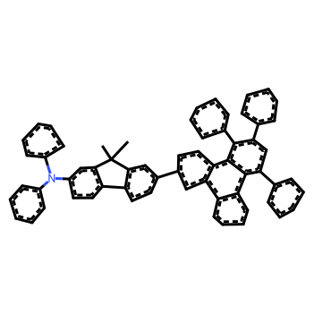 CC1(C)c2cc(-c3ccc4c(c3)c3ccccc3c3c(-c5ccccc5)cc(-c5ccccc5)c(-c5ccccc5)c43)ccc2-c2ccc(N(c3ccccc3)c3ccccc3)cc21